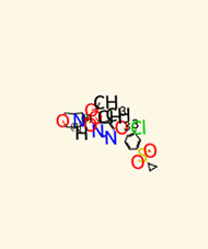 Cc1c(Oc2ccc(S(=O)(=O)C3CC3)cc2Cl)ncnc1O[C@@H]1CC2COC[C@@H](C1)N2C(=O)OC(C)C